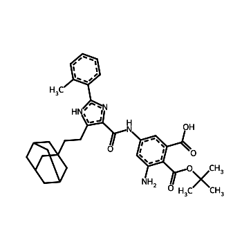 Cc1ccccc1-c1nc(C(=O)Nc2cc(N)c(C(=O)OC(C)(C)C)c(C(=O)O)c2)c(CCC23CC4CC(CC(C4)C2)C3)[nH]1